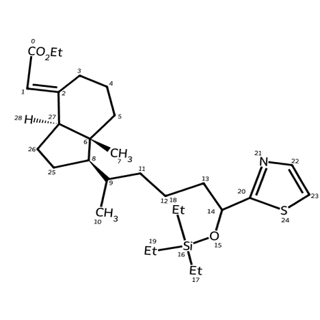 CCOC(=O)C=C1CCC[C@]2(C)[C@@H](C(C)CCCC(O[Si](CC)(CC)CC)c3nccs3)CC[C@@H]12